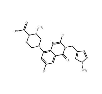 C[C@@H]1CN(c2cc(Br)cc3c(=O)n(Cc4cnn(C)c4)c(Cl)nc23)CCN1C(=O)O